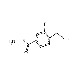 NCc1ccc(C(=O)NN)cc1F